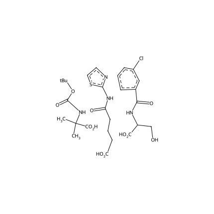 CC(C)(C)OC(=O)NC(C)(C)C(=O)O.O=C(NC(CO)C(=O)O)c1cccc(Cl)c1.O=C(O)CCCC(=O)Nc1nccs1